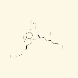 CCCCC[C@H](O)C=C[C@@H]1[C@H]2CC(=CSCC)C[C@H]2C[C@H]1O.CNC